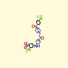 O=C(CCN1CCN(C(=O)c2ccc(C(F)(F)F)cc2)CC1)N1CCC(Nc2ccc([N+](=O)[O-])c(C(F)(F)F)c2)CC1